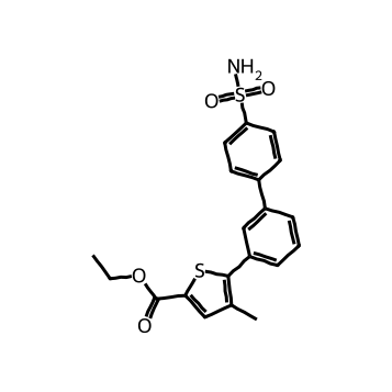 CCOC(=O)c1cc(C)c(-c2cccc(-c3ccc(S(N)(=O)=O)cc3)c2)s1